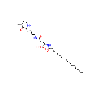 CCCCCCCCCCCCCCCC(=O)NC(CCC(=O)NCCCCC(NC)C(=O)C(C)C)C(=O)O